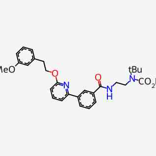 COc1cccc(CCOc2cccc(-c3cccc(C(=O)NCCN(C(=O)O)C(C)(C)C)c3)n2)c1